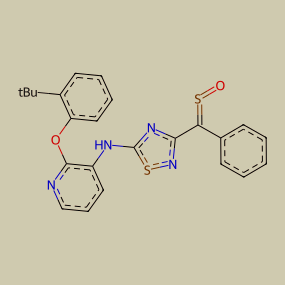 CC(C)(C)c1ccccc1Oc1ncccc1Nc1nc(C(=S=O)c2ccccc2)ns1